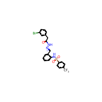 O=C(Cc1cccc(Br)c1)N/N=C/c1ccccc1NS(=O)(=O)c1ccc(C(F)(F)F)cc1